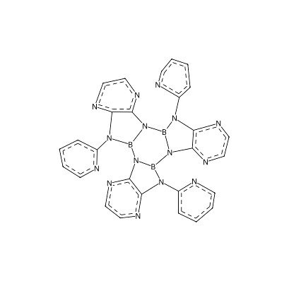 c1ccc(N2B3N(B4N(B5N3c3nccnc3N5c3ccccn3)c3nccnc3N4c3ccccn3)c3nccnc32)nc1